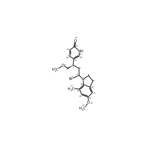 COC[C@H](CC(Br)N1CCc2cc(OC)cc(C)c21)c1c[nH]c(=O)cn1